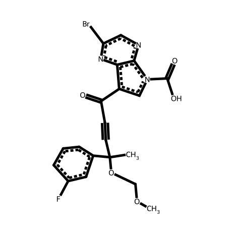 COCOC(C)(C#CC(=O)c1cn(C(=O)O)c2ncc(Br)nc12)c1cccc(F)c1